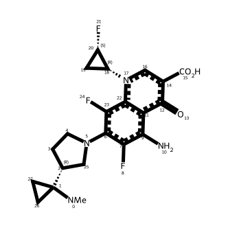 CNC1([C@@H]2CCN(c3c(F)c(N)c4c(=O)c(C(=O)O)cn([C@@H]5C[C@@H]5F)c4c3F)C2)CC1